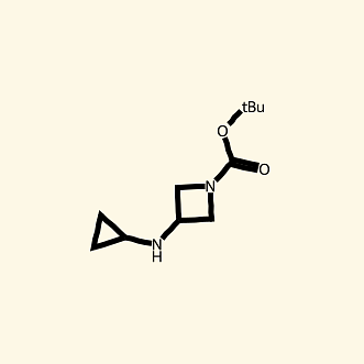 CC(C)(C)OC(=O)N1CC(NC2CC2)C1